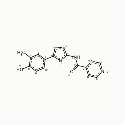 Cc1cc(-c2csc(NC(=O)c3ccncn3)n2)ccc1O